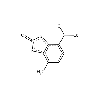 CCC(O)c1ccc(C)c2[nH]c(=O)sc12